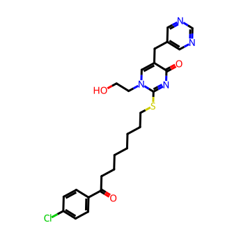 O=C(CCCCCCCSc1nc(=O)c(Cc2cncnc2)cn1CCO)c1ccc(Cl)cc1